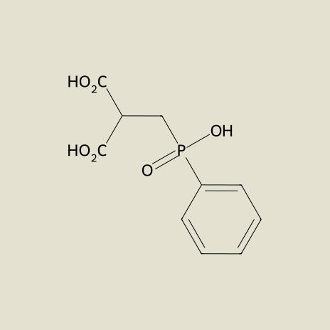 O=C(O)C(CP(=O)(O)c1ccccc1)C(=O)O